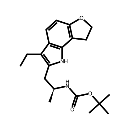 CCc1c(C[C@H](C)NC(=O)OC(C)(C)C)[nH]c2c3c(ccc12)OCC3